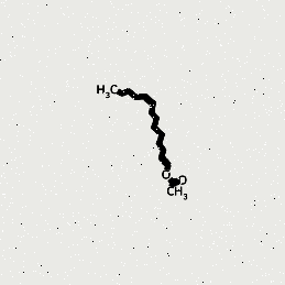 CCCC/C=C\CCCCCC/C=C/OC(C)=O